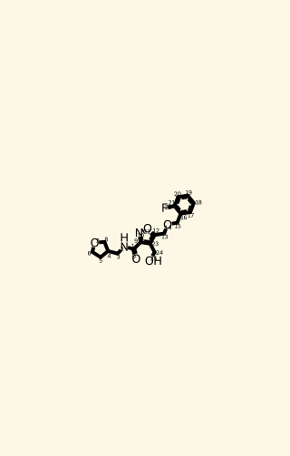 O=C(NCC1CCOC1)c1noc(COCc2ccccc2F)c1CO